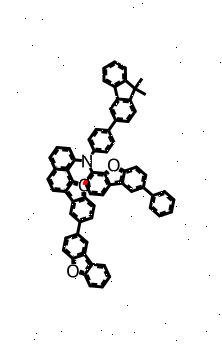 CC1(C)c2ccccc2-c2cc(-c3ccc(N(c4cccc5c4oc4ccc(-c6ccccc6)cc45)c4cccc5ccc6c7cc(-c8ccc9oc%10ccccc%10c9c8)ccc7oc6c45)cc3)ccc21